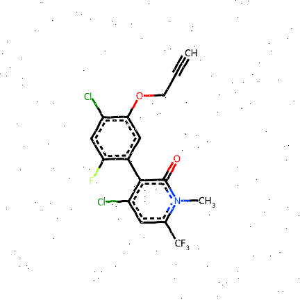 C#CCOc1cc(-c2c(Cl)cc(C(F)(F)F)n(C)c2=O)c(F)cc1Cl